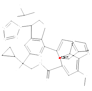 COc1cc(C(=O)NCC(O)(c2cc3c(c(-c4ccc(F)cc4)n2)OC[C@@]3(n2cnnn2)C(F)(F)F)C2CC2)cc2scnc12